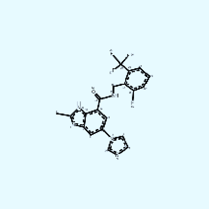 Cc1nc2cc(-n3ccnc3)cc(C(=O)NCc3c(F)cccc3C(F)(F)F)c2[nH]1